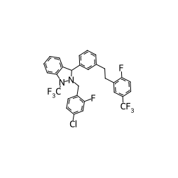 Fc1ccc(C(F)(F)F)cc1CCc1cccc(C2c3ccccc3N(C(F)(F)F)N2Cc2ccc(Cl)cc2F)c1